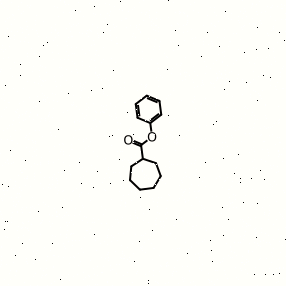 O=C(Oc1ccccc1)C1CCCCCC1